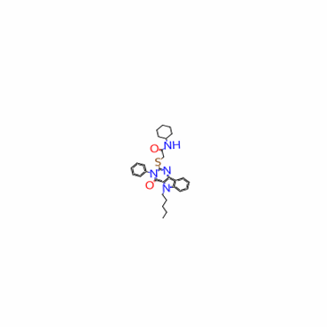 CCCCCn1c2ccccc2c2nc(SCC(=O)NC3CCCCC3)n(-c3ccccc3)c(=O)c21